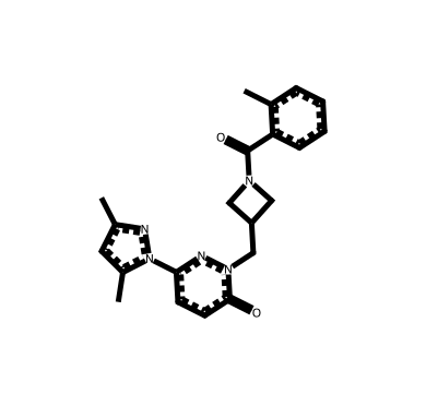 Cc1cc(C)n(-c2ccc(=O)n(CC3CN(C(=O)c4ccccc4C)C3)n2)n1